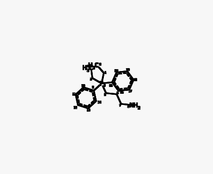 CCP(CC)(CCCN)(c1ccccc1)c1ccccc1